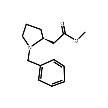 COC(=O)C[C@@H]1CCCN1Cc1ccccc1